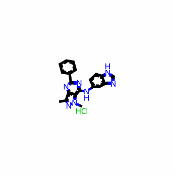 Cc1nn(C)c2c(Nc3ccc4[nH]cnc4c3)nc(-c3ccccc3)nc12.Cl